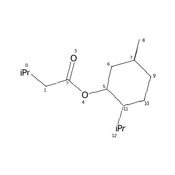 CC(C)CC(=O)OC1CC(C)CCC1C(C)C